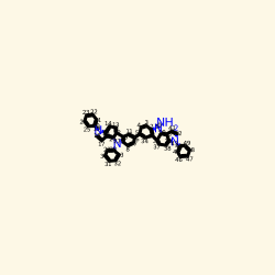 Nn1c2ccc(-c3ccc4c(c3)c3ccc5c(ccn5-c5ccccc5)c3n4-c3ccccc3)cc2c2ccc3c(ccn3-c3ccccc3)c21